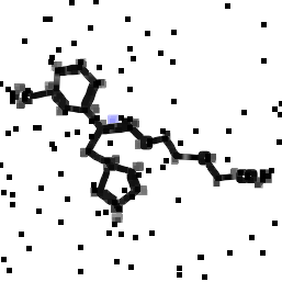 O=C(O)COCCO/N=C(\Cn1ccnc1)c1cccc(C(F)(F)F)c1